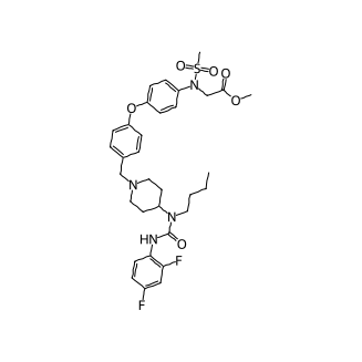 CCCCN(C(=O)Nc1ccc(F)cc1F)C1CCN(Cc2ccc(Oc3ccc(N(CC(=O)OC)S(C)(=O)=O)cc3)cc2)CC1